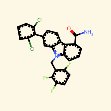 NC(=O)c1cccc2c1c1[c]cc(-c3c(Cl)cccc3Cl)cc1n2Cc1c(F)ccc(F)c1F